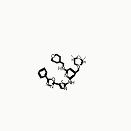 C[C@@H]1CN(Cc2cc(NCC3CCOCC3)nc(Nc3ncc(-c4nnc(-c5ccccc5)o4)s3)c2)C[C@H](C)O1